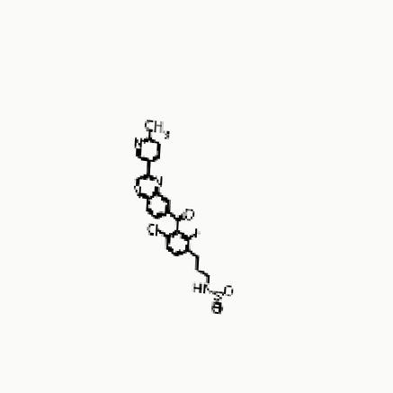 Cc1ccc(-c2cnc3ccc(C(=O)c4c(Cl)ccc(CCCN[SH](=O)=O)c4F)cc3n2)cn1